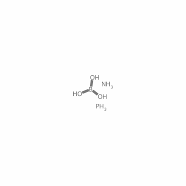 N.OB(O)O.P